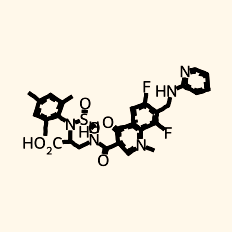 Cc1cc(C)c(N(C(CNC(=O)c2cn(C)c3c(F)c(CNc4ccccn4)c(F)cc3c2=O)C(=O)O)[SH](=O)=O)c(C)c1